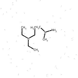 CCN(CC)CC.CN(C)N